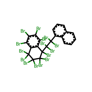 Brc1c(Br)c(Br)c2c(c1Br)C(Br)(Br)C(Br)(Br)C(Br)(Br)C2(Br)C(Br)(Br)C(Br)(Br)c1cccc2ccccc12